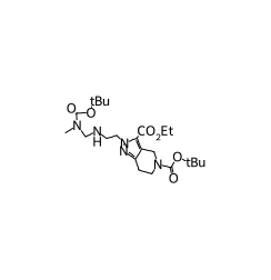 CCOC(=O)c1c2c(nn1CCNCN(C)C(=O)OC(C)(C)C)CCN(C(=O)OC(C)(C)C)C2